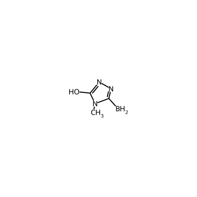 Bc1nnc(O)n1C